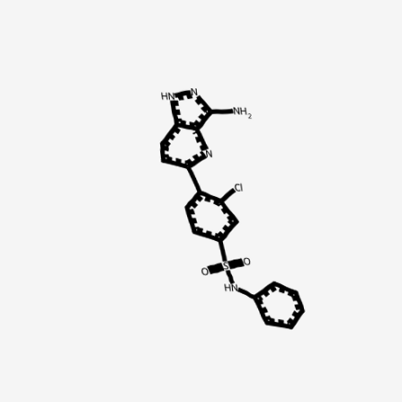 Nc1n[nH]c2ccc(-c3ccc(S(=O)(=O)Nc4ccccc4)cc3Cl)nc12